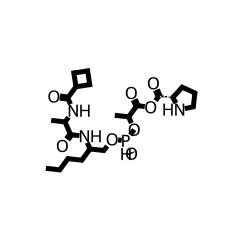 CCCCC(CO[PH](=O)OC(C)C(=O)OC(=O)[C@@H]1CCCN1)NC(=O)C(C)NC(=O)C1CCC1